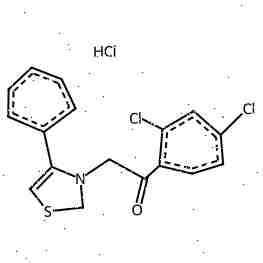 Cl.O=C(CN1CSC=C1c1ccccc1)c1ccc(Cl)cc1Cl